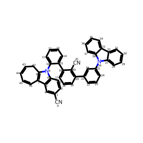 N#Cc1ccc2c(c1)c1c(n2-c2ccccc2-c2cccc(-c3cccc(-n4c5ccccc5c5ccccc54)c3)c2C#N)CC=CC=C1